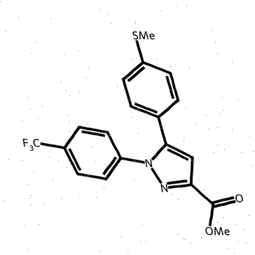 COC(=O)c1cc(-c2ccc(SC)cc2)n(-c2ccc(C(F)(F)F)cc2)n1